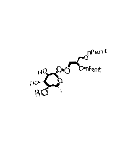 CCCCCOC[C@H](COO[C@H]1O[C@H](C)[C@@H](O)[C@H](O)[C@H]1O)OCCCCC